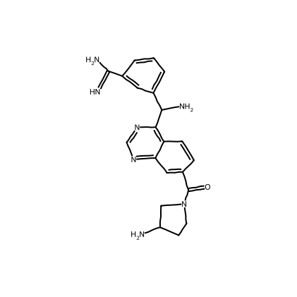 N=C(N)c1cccc(C(N)c2ncnc3cc(C(=O)N4CCC(N)C4)ccc23)c1